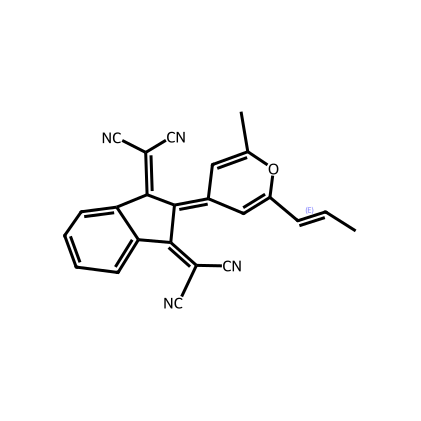 C/C=C/C1=CC(=C2C(=C(C#N)C#N)c3ccccc3C2=C(C#N)C#N)C=C(C)O1